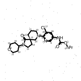 CCCOC(=O)Nc1cnc(N2CCC[C@]3(CCN(C4CCOCC4)C3=O)C2)c(Cl)c1